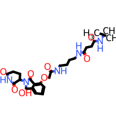 CC(C)(C)NC(=O)CCC(=O)NCCCCNC(=O)COc1cccc2c1C(=O)N(C1CCC(=O)NC1=O)C2O